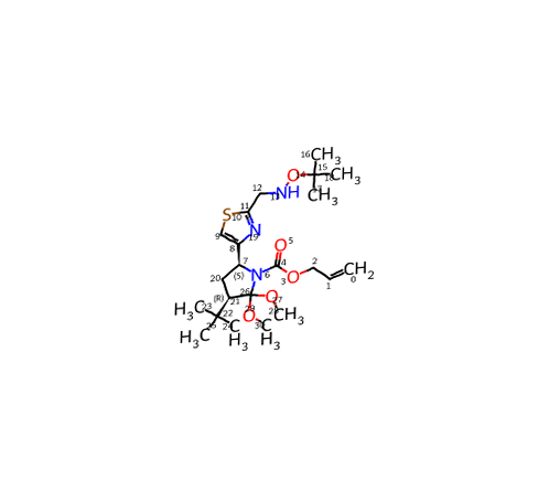 C=CCOC(=O)N1[C@H](c2csc(CNOC(C)(C)C)n2)C[C@H](C(C)(C)C)C1(OC)OC